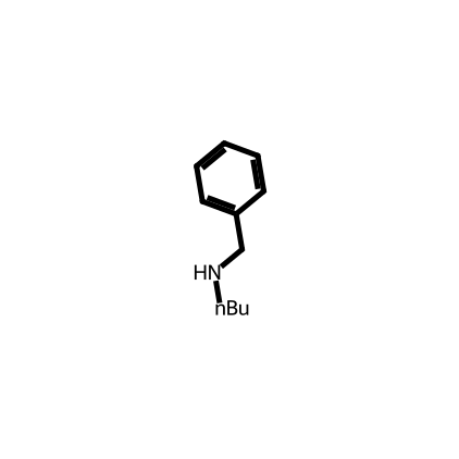 [CH2]CCCNCc1ccccc1